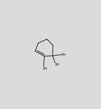 CC(C)C1=CCCCC1(C(C)C)C(C)C